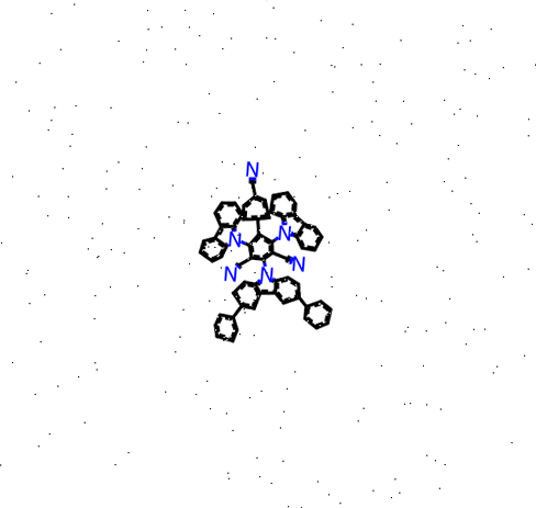 N#Cc1ccc(-c2c(-n3c4ccccc4c4ccccc43)c(C#N)c(-n3c4ccc(-c5ccccc5)cc4c4cc(-c5ccccc5)ccc43)c(C#N)c2-n2c3ccccc3c3ccccc32)cc1